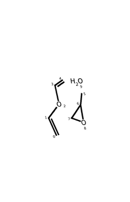 C=COC=C.CC1CO1.O